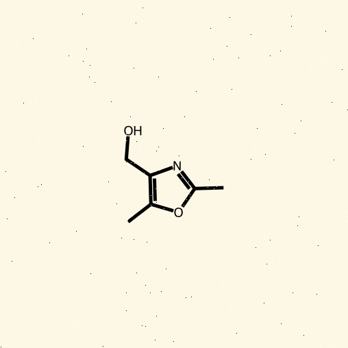 Cc1nc(CO)c(C)o1